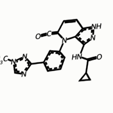 Cn1cnc(-c2cccc(N3C(=C=O)C=Cc4[nH]nc(NC(=O)C5CC5)c43)c2)n1